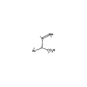 CC(=O)C(N=N)C(=O)O